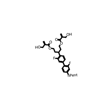 C=C(CO)C(=O)OCCC(CCOC(=O)C(=C)CO)c1ccc(-c2ccc(CCCCC)cc2F)cc1F